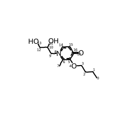 CCCCOc1c(C)n(CC(O)CO)ccc1=O